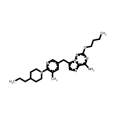 CCCCOc1nc(N)c2ncc(Cc3cnc(N4CCC(CCC)CC4)c(C)c3)n2n1